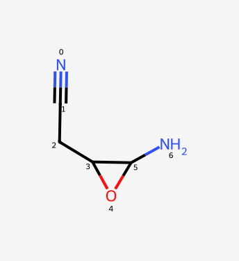 N#CCC1OC1N